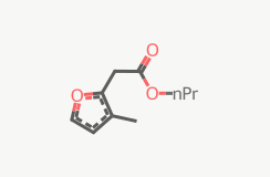 CCCOC(=O)Cc1occc1C